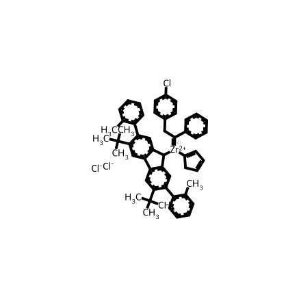 Cc1ccccc1-c1cc2c(cc1C(C)(C)C)-c1cc(C(C)(C)C)c(-c3ccccc3C)cc1[CH]2/[Zr+2]([C]1=CC=CC1)=[C](\Cc1ccc(Cl)cc1)c1ccccc1.[Cl-].[Cl-]